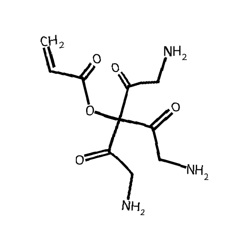 C=CC(=O)OC(C(=O)CN)(C(=O)CN)C(=O)CN